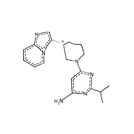 CC(C)c1nc(N)cc(N2CCC[C@@H](c3cnc4ccccn34)C2)n1